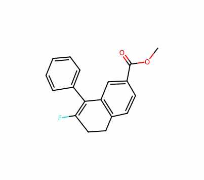 COC(=O)c1ccc2c(c1)C(c1ccccc1)=C(F)CC2